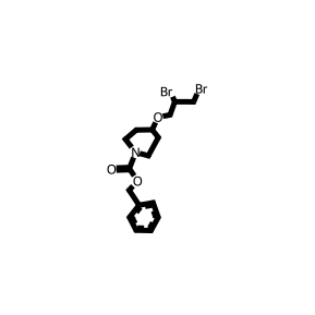 O=C(OCc1ccccc1)N1CCC(OCC(Br)CBr)CC1